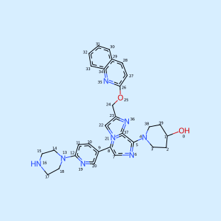 OC1CCN(c2ncc(-c3ccc(N4CCNCC4)nc3)n3cc(COc4ccc5ccccc5n4)nc23)CC1